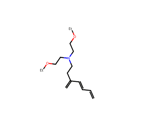 C=CC=CC(=C)CCN(CCOCC)CCOCC